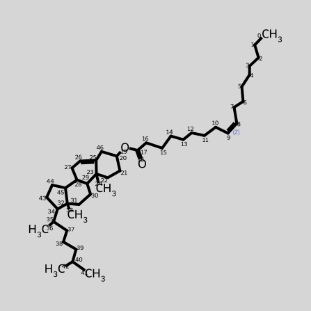 CCCCCCCC/C=C\CCCCCCCC(=O)OC1CCC2(C)C(=CCC3C2CCC2(C)C(C(C)CCCC(C)C)CCC32)C1